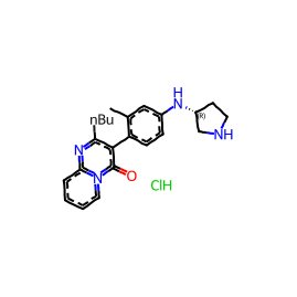 CCCCc1nc2ccccn2c(=O)c1-c1ccc(N[C@@H]2CCNC2)cc1C.Cl